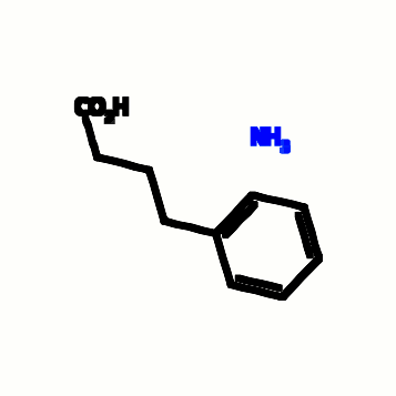 N.O=C(O)CCCc1ccccc1